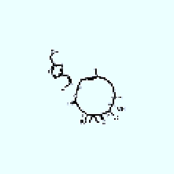 CC[C@H]1C(=O)C(C)(C)[C@@H](O)CC(=O)O[C@H](C(Cl)=Cc2coc(CO)n2)C/C=C(/C)CCC[C@H](C)[C@@H]1O